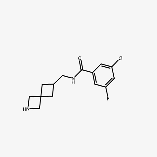 O=C(NCC1CC2(CNC2)C1)c1cc(F)cc(Cl)c1